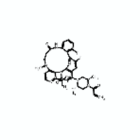 C=CC(=O)N1C[C@H](C)N(c2nc(=O)n3c4nc(c(F)cc24)-c2c(F)cccc2NC(=O)CCN(C)c2ccnc(C(C)C)c2-3)C[C@H]1C